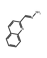 NN=Cc1ccc2ccccc2n1